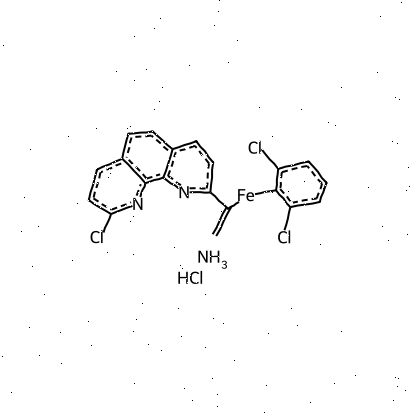 C=[C]([Fe][c]1c(Cl)cccc1Cl)c1ccc2ccc3ccc(Cl)nc3c2n1.Cl.N